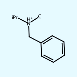 [CH2-][NH+](Cc1ccccc1)C(C)C